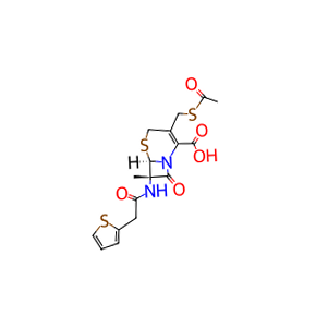 CC(=O)SCC1=C(C(=O)O)N2C(=O)[C@](C)(NC(=O)Cc3cccs3)[C@H]2SC1